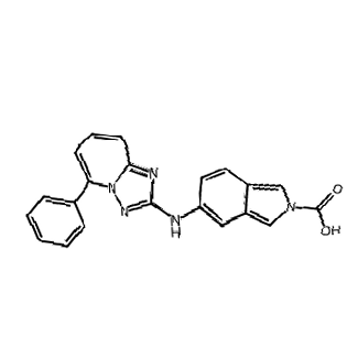 O=C(O)n1cc2ccc(Nc3nc4cccc(-c5ccccc5)n4n3)cc2c1